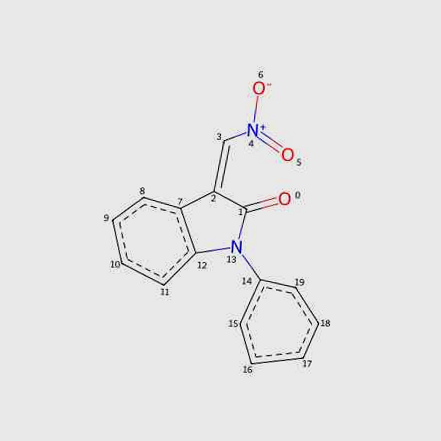 O=C1C(=C[N+](=O)[O-])c2ccccc2N1c1ccccc1